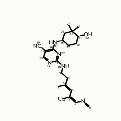 C=N/C=C(Cl)\C=C(/C)CCNc1ncc(C#N)c(N[C@@H]2CC[C@H](O)C(C)(C)C2)n1